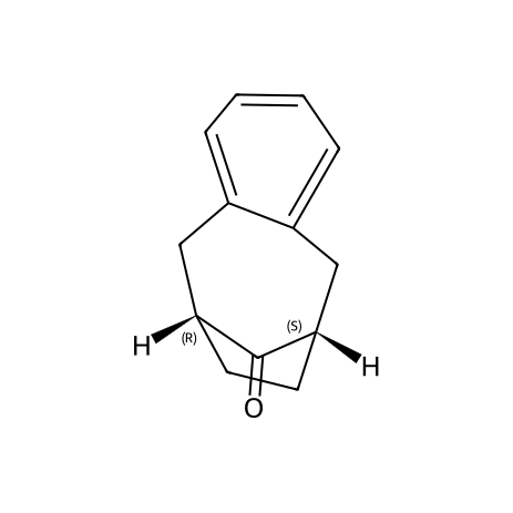 O=C1[C@@H]2CC[C@H]1Cc1ccccc1C2